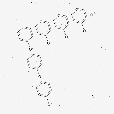 [O-]c1ccccc1.[O-]c1ccccc1.[O-]c1ccccc1.[O-]c1ccccc1.[O-]c1ccccc1.[O-]c1ccccc1.[W+6]